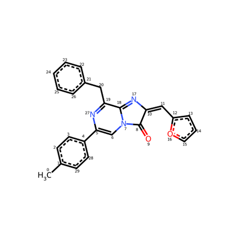 Cc1ccc(C2=CN3C(=O)C(=Cc4ccco4)N=C3C(Cc3ccccc3)=N2)cc1